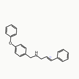 C(=C\c1ccccc1)/CNCc1ccc(Oc2ccccc2)cc1